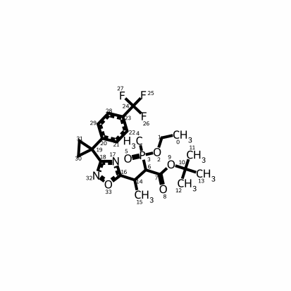 CCOP(C)(=O)C(C(=O)OC(C)(C)C)C(C)c1nc(C2(c3ccc(C(F)(F)F)cc3)CC2)no1